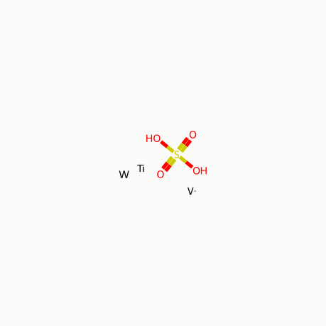 O=S(=O)(O)O.[Ti].[V].[W]